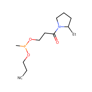 C[13CH2]C1CCCN1C(=O)CCOP(C)OCCC#N